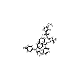 Cn1cnc(S(=O)(=O)N(C2CC(F)(F)C2)[C@H]2CCC3=Cc4c(cnn4-c4ccc(F)cc4)C[C@]3(C(=O)c3cc(C(F)(F)F)ccn3)C2)c1